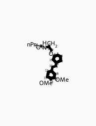 C=C(COc1cccc(CCc2ccc(OC)c(OC)c2)c1)NCOCCC